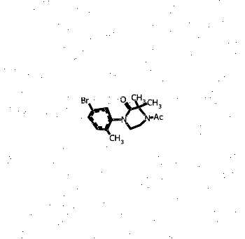 CC(=O)N1CCN(c2cc(Br)ccc2C)C(=O)C1(C)C